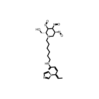 C=C(/C=C\C(=C/C)n1ccnc1)NCCCCCCN1C[C@H](N=O)C(N=O)C(N=O)[C@H]1CO